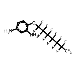 Nc1ccc(OC(F)(F)C(F)(F)C(F)(F)C(F)(F)C(F)(F)C(F)(F)C(F)(F)F)c(N)c1